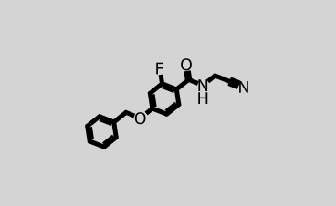 N#CCNC(=O)c1ccc(OCc2ccccc2)cc1F